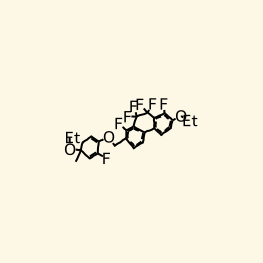 CCOc1ccc2c(c1F)C(F)(F)C(F)(F)c1c-2ccc(COC2=CCC(C)(OCC)C=C2F)c1F